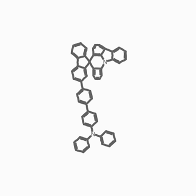 c1ccc(N(c2ccccc2)c2ccc(-c3ccc(-c4ccc5c(c4)C4(c6ccccc6-5)c5ccccc5-n5c6ccccc6c6cccc4c65)cc3)cc2)cc1